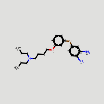 CCCN(CCC)CCCCOc1cccc(Sc2ccc(N)c(N)c2)c1